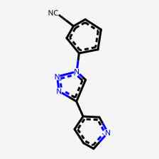 N#Cc1cccc(-n2cc(-c3cccnc3)nn2)c1